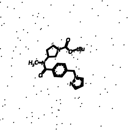 CN(C(=O)c1ccc(Cn2cccn2)cc1)C1CCN(C(=O)OC(C)(C)C)C1